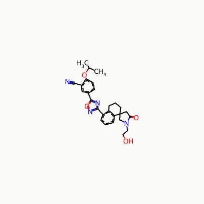 CC(C)Oc1ccc(-c2nc(-c3cccc4c3CCCC43CC(=O)N(CCO)C3)no2)cc1C#N